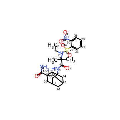 CCN(C(C)(C)C(=O)NC12CC3CC(C1)CC(C(N)=O)(C3)C2)S(=O)(=O)c1ccccc1[N+](=O)[O-]